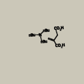 C=C(CC(=O)O)C(=O)O.CCCCN(CCCC)CCCC